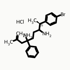 C=C(C)CC(N)(CCC(N)[C@@H](C)c1ccc(Br)cc1)c1ccccc1.Cl